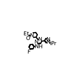 CCC(=O)N1CCCC(c2nc(Nc3cccc(F)c3)cc(-c3cnn(C(C)C)c3)n2)C1